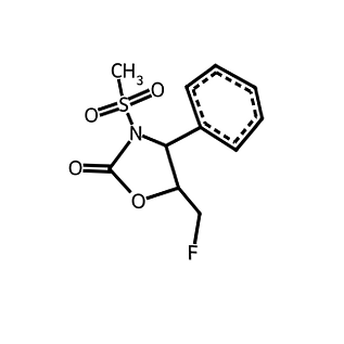 CS(=O)(=O)N1C(=O)OC(CF)C1c1ccccc1